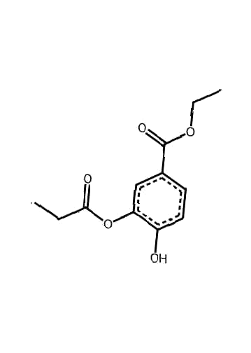 [CH2]CC(=O)Oc1cc(C(=O)OCC)ccc1O